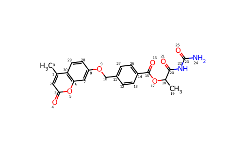 Cc1cc(=O)oc2cc(OCc3ccc(C(=O)OC(C)C(=O)NC(N)=O)cc3)ccc12